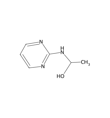 CC(O)Nc1ncccn1